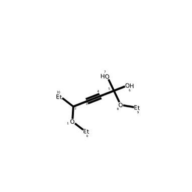 CCOC(C#CC(O)(O)OCC)CC